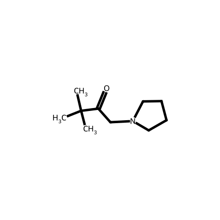 CC(C)(C)C(=O)CN1CCCC1